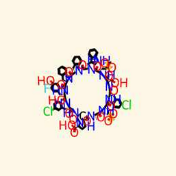 C[C@@H]1NC(=O)C[C@@H](C(=O)N2CCC[C@H]2C(=O)O)NC(=O)[C@H](Cc2cccc(Cl)c2)NC(O)[C@H](Cc2ccc(O)c(F)c2)NC(=O)[C@@H](Cc2ccccc2)N(C)C(=O)[C@H](Cc2ccccc2)N(C)C(=O)[C@H](Cc2c[nH]c3ccccc23)NC(=O)[C@H](CCS(C)(=O)=O)NC(=O)[C@@H](CO)N(C)C(=O)[C@H](Cc2cccc(Cl)c2)NC(=O)[C@H](CCS(C)(=O)=O)NC1=O